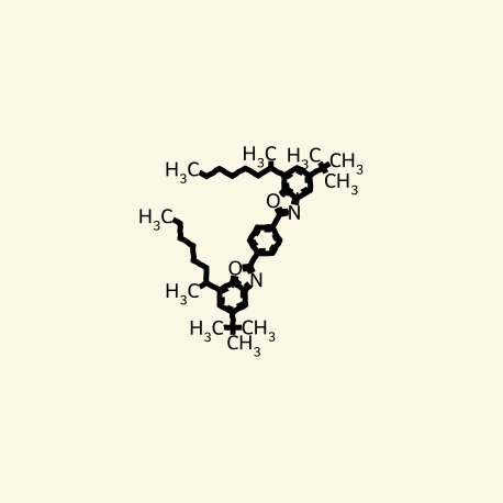 CCCCCCC(C)c1cc(C(C)(C)C)cc2nc(-c3ccc(-c4nc5cc(C(C)(C)C)cc(C(C)CCCCCC)c5o4)cc3)oc12